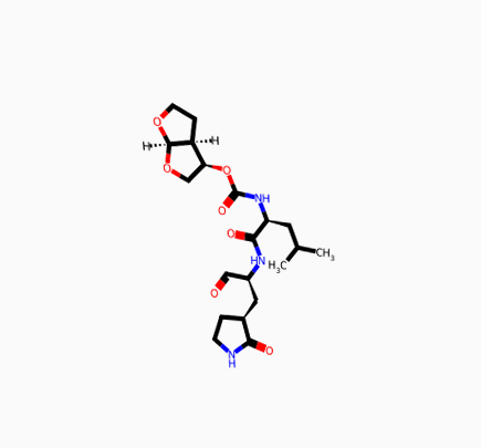 CC(C)C[C@H](NC(=O)O[C@H]1CO[C@H]2OCC[C@H]21)C(=O)N[C@H](C=O)C[C@@H]1CCNC1=O